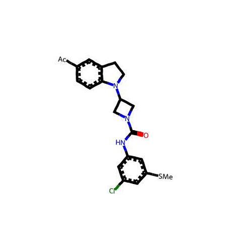 CSc1cc(Cl)cc(NC(=O)N2CC(N3CCc4cc(C(C)=O)ccc43)C2)c1